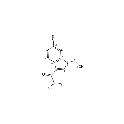 CN(C)C(=O)c1cn(CC#N)c2cc(Cl)ccc12